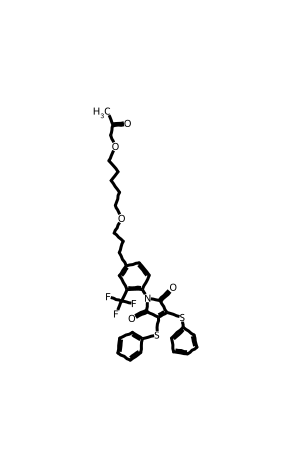 CC(=O)COCCCCCOCCCc1ccc(N2C(=O)C(Sc3ccccc3)=C(Sc3ccccc3)C2=O)c(C(F)(F)F)c1